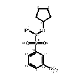 CC(C)N(OC1CCCC1)S(=O)(=O)c1cccc([N+](=O)[O-])c1